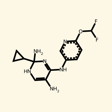 NC1=CNC(N)(C2CC2)N=C1Nc1ccc(OC(F)F)nc1